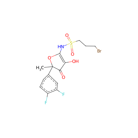 CC1(c2ccc(F)c(F)c2)OC(NS(=O)(=O)CCCBr)=C(O)C1=O